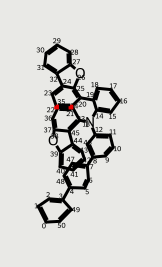 c1ccc(-c2ccc(-c3cccc(N(c4ccccc4-c4cccc5c4oc4ccccc45)c4cccc5oc6ccccc6c45)c3)cc2)cc1